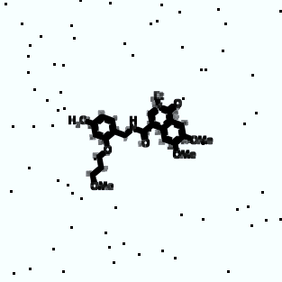 CCn1cc(C(=O)NCc2ccc(C)cc2OCCCOC)c2cc(OC)c(OC)cc2c1=O